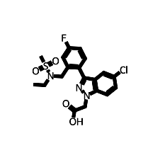 CCN(Cc1cc(F)ccc1-c1nn(CC(=O)O)c2ccc(Cl)cc12)S(C)(=O)=O